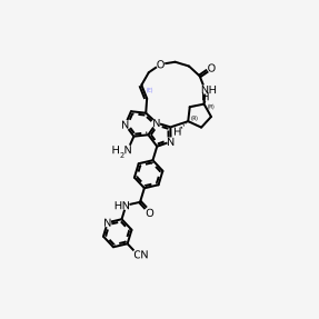 N#Cc1ccnc(NC(=O)c2ccc(-c3nc4n5c(cnc(N)c35)/C=C/COCCC(=O)N[C@@H]3CC[C@@H]4C3)cc2)c1